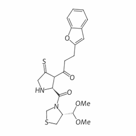 COC(OC)[C@@H]1CSCN1C(=O)[C@H]1NCC(=S)C1C(=O)CCc1cc2ccccc2o1